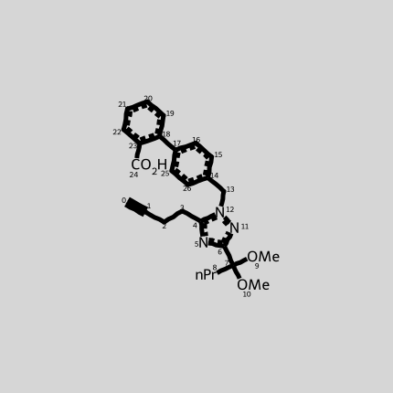 C#CCCc1nc(C(CCC)(OC)OC)nn1Cc1ccc(-c2ccccc2C(=O)O)cc1